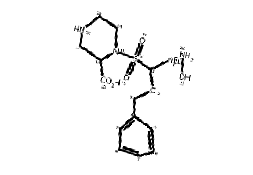 CCCCC(OCc1ccccc1)S(=O)(=O)N1CCNCC1C(=O)O.NO